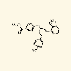 COC(=O)c1ccc(CC(C=Cc2ccccc2OC(F)(F)F)CCc2ccc(C#N)cc2)cc1